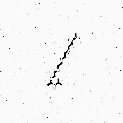 C=C(NC(C)C)OCCOCCOCCOCCNCC